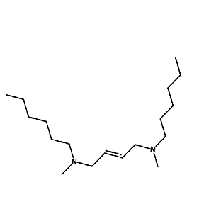 CCCCCCN(C)CC=CCN(C)CCCCCC